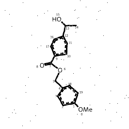 COc1ccc(COC(=O)c2ccc(C(C)O)cc2)cc1